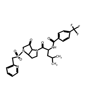 CC(C)CC(NC(=O)c1ccc(C(F)(F)F)cc1)C(=O)N1CCC2C1C(=O)CN2S(=O)(=O)Cc1ccccn1